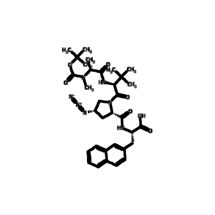 C[C@@H](C(=O)N[C@H](C(=O)N1C[C@@H](N=[N+]=[N-])C[C@H]1C(=O)N[C@@H](Cc1ccc2ccccc2c1)C(=O)O)C(C)(C)C)N(C)C(=O)OC(C)(C)C